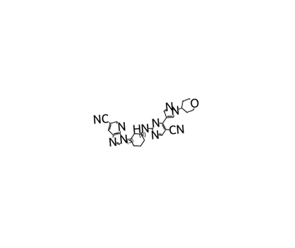 N#Cc1cnc2c(c1)ncn2[C@H]1CCC[C@@H](Nc2ncc(C#N)c(-c3cnn(C4CCOCC4)c3)n2)C1